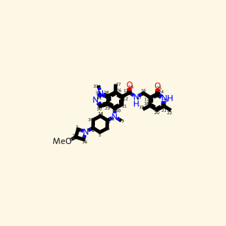 COC1CN(C2CCC(N(C)c3cc(C(=O)NCc4c(C)cc(C)[nH]c4=O)c(C)c4c3cnn4C)CC2)C1